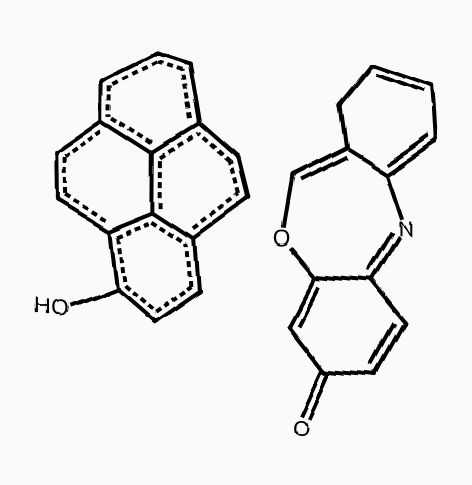 O=C1C=CC2=NC3=CC=CCC3=COC2=C1.Oc1ccc2ccc3cccc4ccc1c2c34